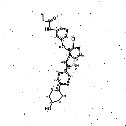 C=CC(=O)Nc1cccc(Oc2c(Cl)cnc3[nH]c(-c4ccc(N5CCC(O)CC5)cc4)nc23)c1